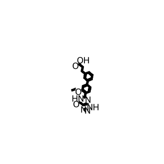 CCOc1cc(-c2cccc(CCC(=O)O)c2)ccc1-c1nc2[nH]nnc2c(=O)[nH]1